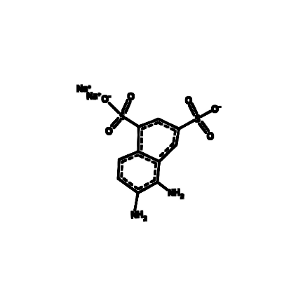 Nc1ccc2c(S(=O)(=O)[O-])cc(S(=O)(=O)[O-])cc2c1N.[Na+].[Na+]